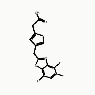 O=C(O)Cc1cc(Cc2nc3c(F)c(F)cc(F)c3s2)cs1